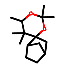 CC1OC(C)(C)OC2(CC3CCC2C3)C1(C)C